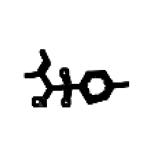 [C-]#[N+]C(C(C)=CC)S(=O)(=O)c1ccc(C)cc1